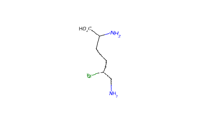 NCC(Br)CCC(N)C(=O)O